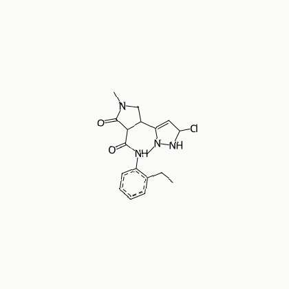 CCc1ccccc1NC(=O)C1C(=O)N(C)CC1C1=CC(Cl)NN1C